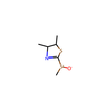 CC1N=C([S+](C)[O-])SC1C